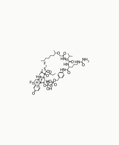 CCCCCCC(C)OCC(=O)N[C@H](C(=O)NC(CCCNC(N)=O)C(=O)Nc1ccc(COP(=O)(O)OP(=O)(O)O[C@H]2C[C@@]3(C)[C@@H](C[C@@H](C)[C@]3(OC(=O)CC)C(=O)SCF)[C@@H]3C[C@H](F)C4=CC(=O)C=C[C@]4(C)[C@@]23F)cc1)C(C)C